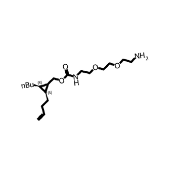 C=CCC[C@@H]1C(COC(=O)NCCOCCOCCN)[C@@H]1CCCC